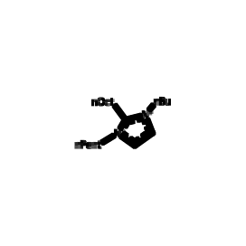 CCCCCCCCc1n(CCCCC)cc[n+]1CCCC